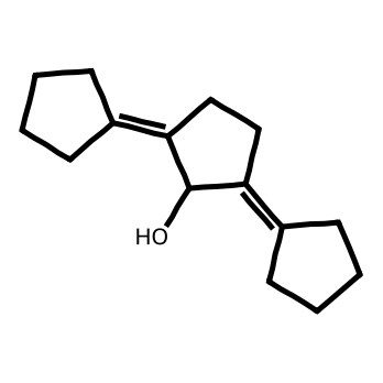 OC1C(=C2CCCC2)CCC1=C1CCCC1